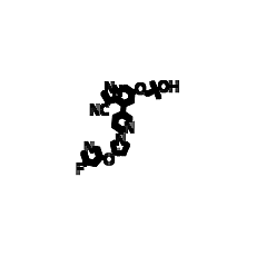 CC(C)(O)COc1cc(-c2ccc(N3CC[C@H](Oc4cncc(F)c4)C3)nc2)c2c(C#N)cnn2c1